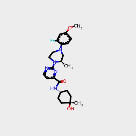 COc1ccc(N2CCN(c3nccc(C(=O)N[C@H]4CC[C@@](C)(O)CC4)n3)[C@H](C)C2)c(F)c1